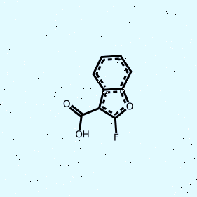 O=C(O)c1c(F)oc2ccccc12